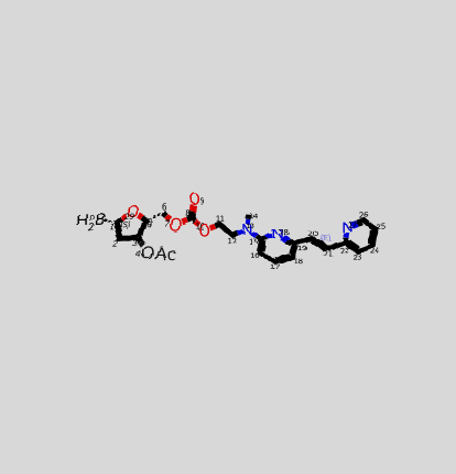 B[C@H]1CC(OC(C)=O)[C@@H](COC(=O)OCCN(C)c2cccc(/C=C/c3ccccn3)n2)O1